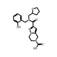 O=C(O)N1CCn2nc(C(=O)N(Cc3ccccc3O)CC3CCCO3)cc2C1